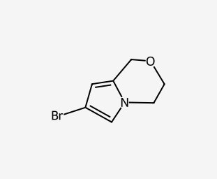 Brc1cc2n(c1)CCOC2